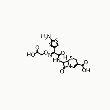 Nc1nc(C(=NOCC(=O)O)C(=O)NC2C(=O)N3C=C(C(=O)O)CS[C@H]23)cs1